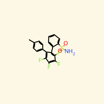 Cc1ccc(-c2c(F)c(F)c(F)c(F)c2-c2ccccc2S(N)(=O)=O)cc1